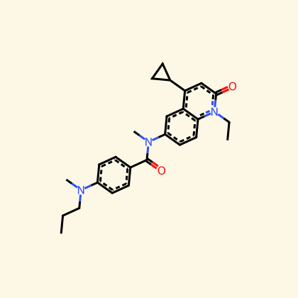 CCCN(C)c1ccc(C(=O)N(C)c2ccc3c(c2)c(C2CC2)cc(=O)n3CC)cc1